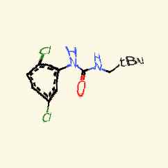 CC(C)(C)CNC(=O)Nc1cc(Cl)ccc1Cl